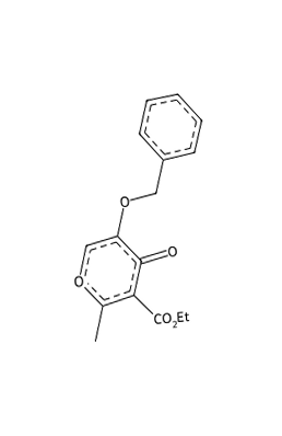 CCOC(=O)c1c(C)occ(OCc2ccccc2)c1=O